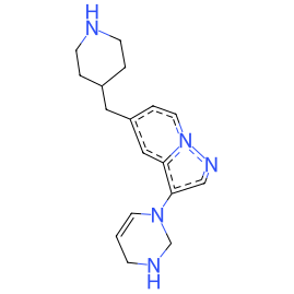 C1=CN(c2cnn3ccc(CC4CCNCC4)cc23)CNC1